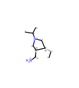 CC[C@H]1CN(C(C)C)C[C@@H]1CN